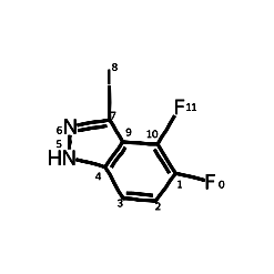 Fc1ccc2[nH]nc(I)c2c1F